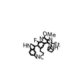 CCc1nc2c(OC)nc3c(F)c(-c4c[nH]c5ccc(C)cc45)c(CCC#N)cc3c2n1C1C2CNC1C2